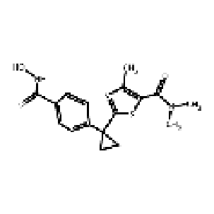 Cc1nc(C2(c3ccc(C(=O)NO)cc3)CC2)sc1C(=O)N(C)C